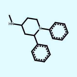 CNC1CCN(c2ccccc2)C(c2ccccc2)C1